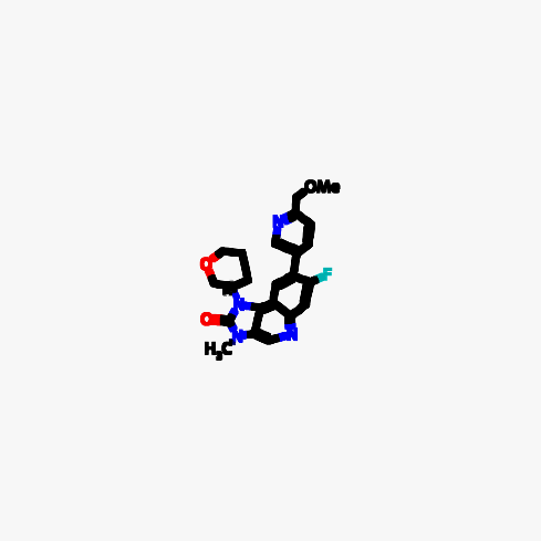 COCc1ccc(-c2cc3c(cc2F)ncc2c3n([C@@H]3CCCOC3)c(=O)n2C)cn1